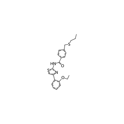 CCCSCc1ccc(C(=O)Nc2nc(-c3ccccc3OCC)cs2)cc1